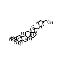 COC[C@]12CC[C@@](C)(O)C[C@@H]1CC[C@H]1[C@@H]3CC[C@H](C(=O)Cn4ncc(CO)n4)[C@@]3(C)CC[C@@H]12